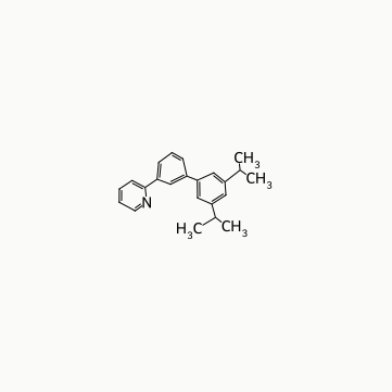 CC(C)c1cc(-c2cccc(-c3ccccn3)c2)cc(C(C)C)c1